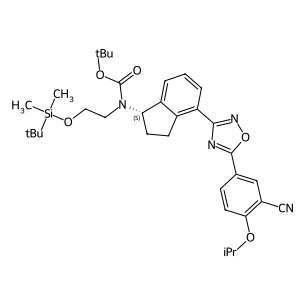 CC(C)Oc1ccc(-c2nc(-c3cccc4c3CC[C@@H]4N(CCO[Si](C)(C)C(C)(C)C)C(=O)OC(C)(C)C)no2)cc1C#N